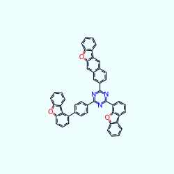 c1ccc2c(c1)oc1cc3cc(-c4nc(-c5ccc(-c6cccc7oc8ccccc8c67)cc5)nc(-c5cccc6c5oc5ccccc56)n4)ccc3cc12